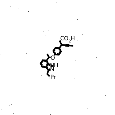 CC#CC(CC(=O)O)c1ccc(OC(C)c2cccc3c(CC(C)C)n[nH]c23)cc1